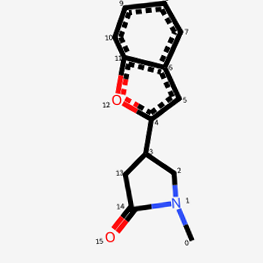 CN1CC(c2cc3ccccc3o2)CC1=O